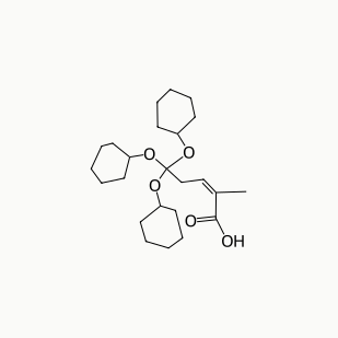 CC(=CCC(OC1CCCCC1)(OC1CCCCC1)OC1CCCCC1)C(=O)O